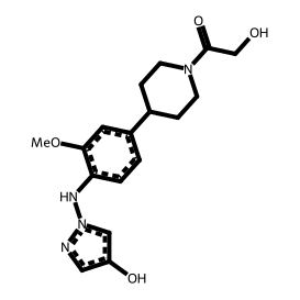 COc1cc(C2CCN(C(=O)CO)CC2)ccc1Nn1cc(O)cn1